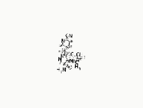 C[C@@H](Nc1c(C(N)=O)cnn2cc(-c3ccc(C#N)nc3)cc12)C(C)(C)F